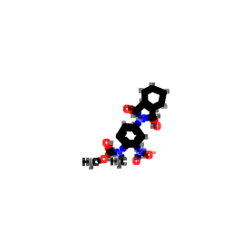 COC(=O)N(C)c1ccc(N2C(=O)C3=C(CCCC3)C2=O)cc1[N+](=O)[O-]